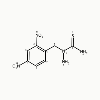 NC(=S)N(N)Cc1ccc([N+](=O)[O-])cc1[N+](=O)[O-]